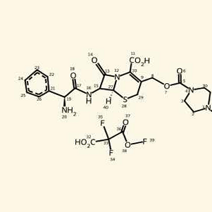 CN1CCN(C(=O)OCC2=C(C(=O)O)N3C(=O)C(NC(=O)[C@@H](N)c4ccccc4)[C@@H]3SC2)CC1.O=C(O)C(F)(F)C(=O)OF